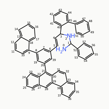 NC(NC(/C=C/c1cc(-c2cccc3ccccc23)cc(-c2c3ccccc3cc3c2ccc2ccccc23)c1)c1ccccc1-c1ccccc1)c1ccccc1